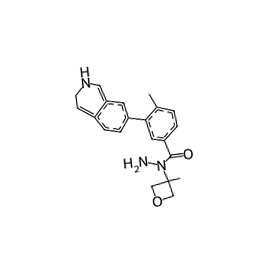 Cc1ccc(C(=O)N(N)C2(C)COC2)cc1-c1ccc2c(c1)=CNCC=2